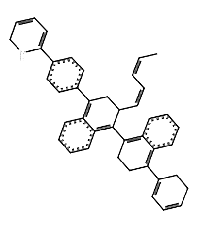 C/C=C\C=C/C1CC(c2ccc(C3=CC=CCN3)cc2)=c2ccccc2=C1C1=c2ccccc2=C(C2=CC=CCC2)CC1